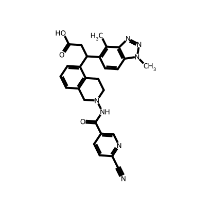 Cc1c(C(CC(=O)O)c2cccc3c2CCN(NC(=O)c2ccc(C#N)nc2)C3)ccc2c1nnn2C